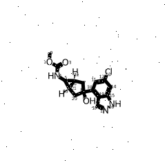 COC(=O)NC1[C@H]2CC(O)(c3cc(Cl)cc4[nH]ncc34)C[C@@H]12